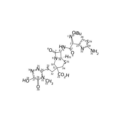 CC(C)CON=C(C(=O)NC1C(=O)N2CC(CSc3nnc(O)c(=O)n3C)(C(=O)O)CS[C@H]12)c1csc(N)n1